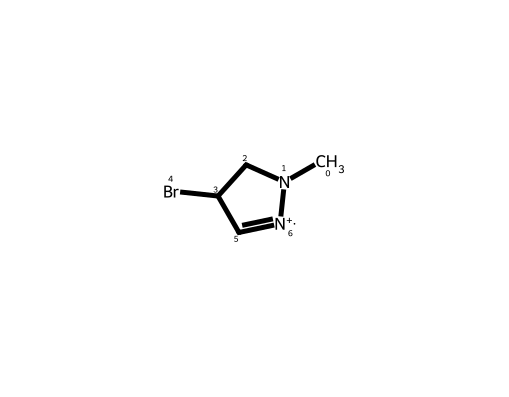 CN1CC(Br)C=[N+]1